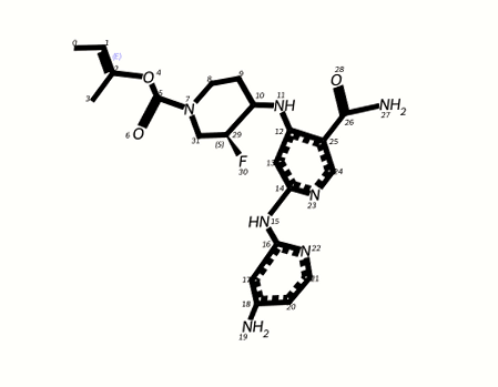 C/C=C(\C)OC(=O)N1CCC(Nc2cc(Nc3cc(N)ccn3)ncc2C(N)=O)[C@@H](F)C1